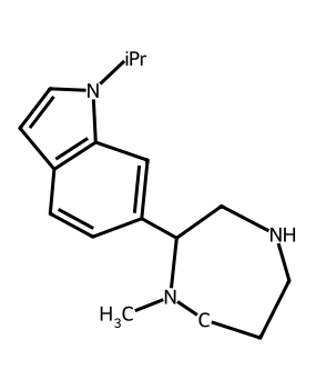 CC(C)n1ccc2ccc(C3CNCCCN3C)cc21